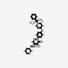 CC(C)(c1ccccc1)N1CCC(Oc2ccc(-n3ncc(NC[C@H]4CCCOC4)c(Cl)c3=O)cc2)CC1